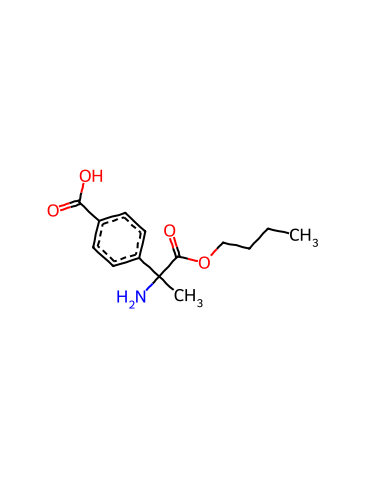 CCCCOC(=O)C(C)(N)c1ccc(C(=O)O)cc1